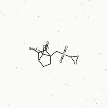 CC1(C)C2CCC1(CS(=O)(=O)N1CO1)C(=O)C2Br